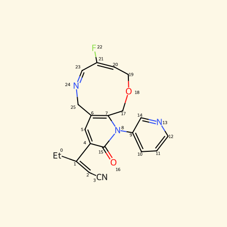 CC/C(=C/C#N)c1cc2c(n(-c3cccnc3)c1=O)COC/C=C(F)\C=N/C2